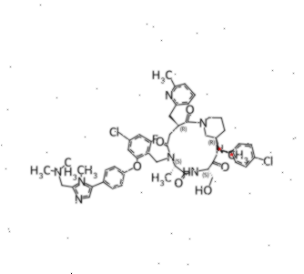 Cc1cccc(C[C@@H]2CC(=O)N(Cc3c(F)cc(Cl)cc3Oc3ccc(-c4cnc(CN(C)C)n4C)cc3)[C@@H](C)C(=O)N[C@@H](CO)C(=O)N(C)[C@@]3(Cc4ccc(Cl)cc4)CCCN(C3)C2=O)n1